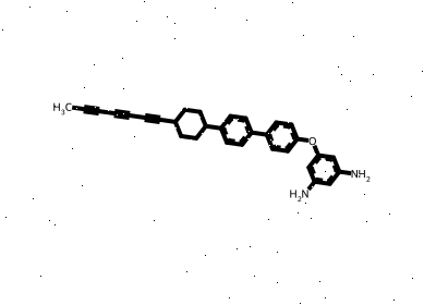 CC#CC#CC#CC1CCC(c2ccc(-c3ccc(Oc4cc(N)cc(N)c4)cc3)cc2)CC1